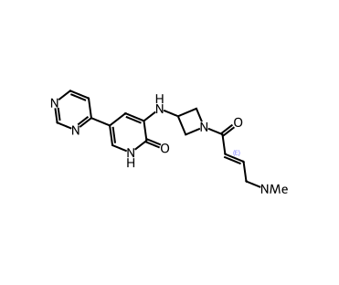 CNC/C=C/C(=O)N1CC(Nc2cc(-c3ccncn3)c[nH]c2=O)C1